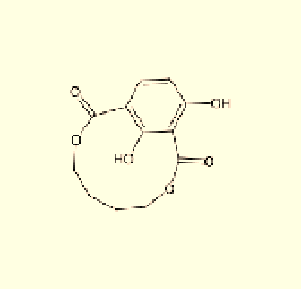 O=C1OCCCCOC(=O)c2c(O)ccc1c2O